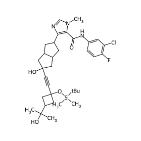 Cn1cnc(C2CC3CC(O)(C#CC4(O[Si](C)(C)C(C)(C)C)CC(C(C)(C)O)C4)CC3C2)c1C(=O)Nc1ccc(F)c(Cl)c1